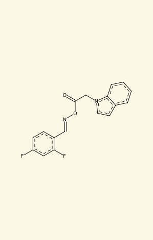 O=C(Cn1ccc2ccccc21)ON=Cc1ccc(F)cc1F